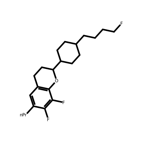 CCCc1cc2c(c(F)c1F)OC(C1CCC(CCCCF)CC1)CC2